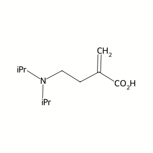 C=C(CCN(C(C)C)C(C)C)C(=O)O